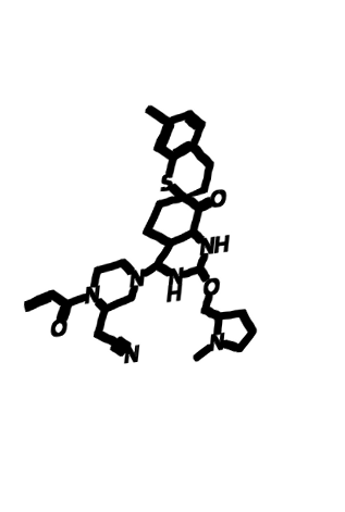 C=CC(=O)N1CCN(C2NC(OCC3CCCN3C)NC3C(=O)[C@]4(CCc5ccc(C)cc5S4)CCC32)CC1CC#N